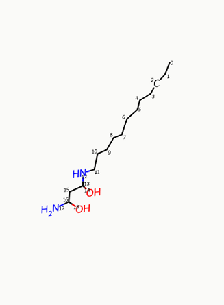 CCCCCCCCCCCCNC(O)CC(N)O